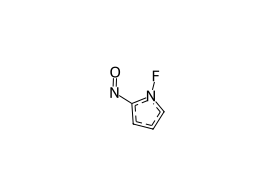 O=Nc1cccn1F